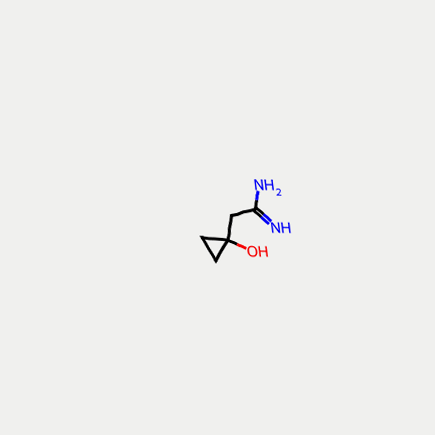 N=C(N)CC1(O)CC1